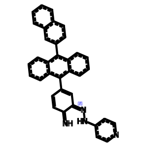 N=C1C=CC(c2c3ccccc3c(-c3ccc4ccccc4c3)c3ccccc23)=C/C1=N/Nc1ccncc1